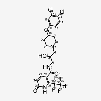 O=C(NCC(O)CN1CCC(Oc2ccc(Cl)c(Cl)c2)CC1)c1ccc(=O)[nH]c1C(F)(F)C(F)(F)F